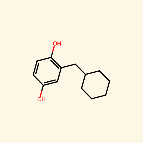 Oc1ccc(O)c(CC2CCCCC2)c1